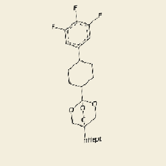 CCCCCCCC12COC(C3CCC(c4cc(F)c(F)c(F)c4)CC3)(OC1)OC2